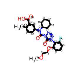 COCCOc1cccc(F)c1-n1nnn(C(=O)N(c2ccc(C)c(C(=O)O)c2)C2CCCCC2)c1=O